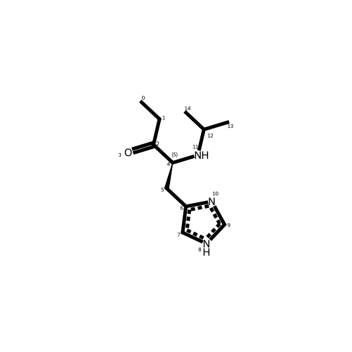 CCC(=O)[C@H](Cc1c[nH]cn1)NC(C)C